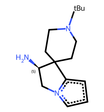 CC(C)(C)N1CCC2(CC1)c1cccn1C[C@H]2N